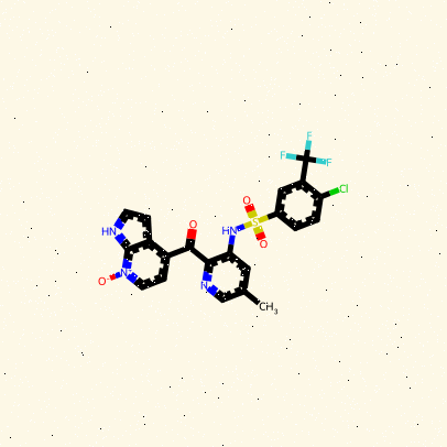 Cc1cnc(C(=O)c2cc[n+]([O-])c3[nH]ccc23)c(NS(=O)(=O)c2ccc(Cl)c(C(F)(F)F)c2)c1